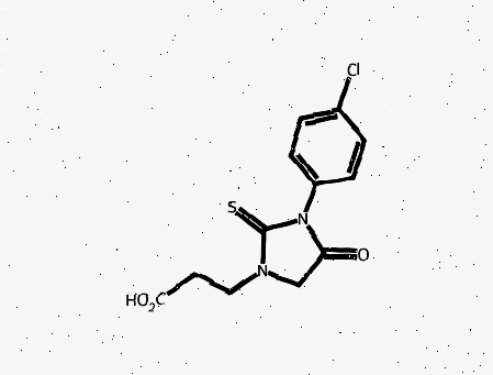 O=C(O)CCN1CC(=O)N(c2ccc(Cl)cc2)C1=S